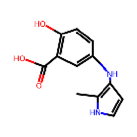 Cc1[nH]ccc1Nc1ccc(O)c(C(=O)O)c1